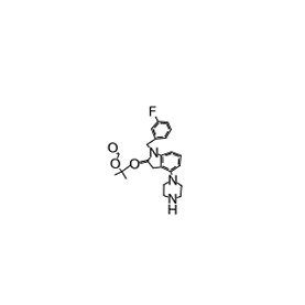 CC(C)(C)OC=O.O=C1Cc2c(N3CCNCC3)cccc2N1Cc1cccc(F)c1